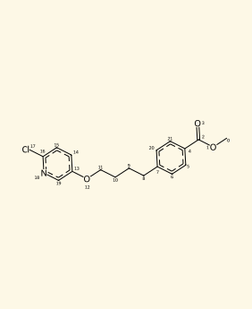 COC(=O)c1ccc(CCCCOc2ccc(Cl)nc2)cc1